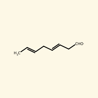 CC=CCC=CC[C]=O